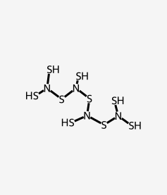 SN(S)SN(S)SN(S)SN(S)S